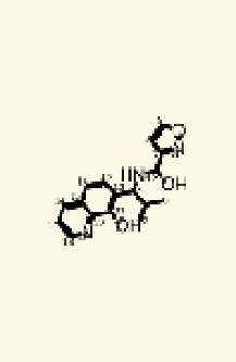 CC(C)C(NC(O)c1ccon1)c1ccc2cccnc2c1O